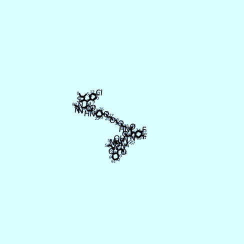 Cc1sc2c(c1C)C(c1ccc(Cl)cc1)=N[C@@H](CC(=O)Nc1ccc(OCCOCCOCCNC(=O)c3c(C(=O)N4CCN(C(=O)C(NC(=O)C(C)N(C)C(=O)O)C5CCCCC5)CC4)n(C)c4cc(F)c(F)cc34)cc1)c1nnc(C)n1-2